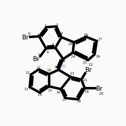 Brc1ccc2c(c1Br)/C(=C1\c3ccccc3-c3ccc(Br)c(Br)c31)c1ccccc1-2